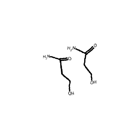 NC(=O)CCO.NC(=O)CCO